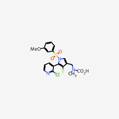 COc1cccc(S(=O)(=O)n2cc(CN(C)C(=O)O)c(F)c2-c2cccnc2Cl)c1